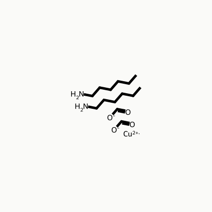 CCCCCCN.CCCCCCN.O=C[O-].O=C[O-].[Cu+2]